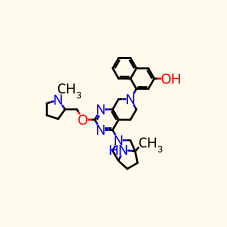 CN1CCCC1COc1nc2c(c(N3CC4CCC(C)(C3)N4)n1)CCN(c1cc(O)cc3ccccc13)C2